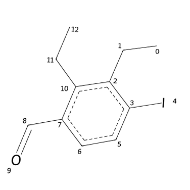 CCc1c(I)ccc(C=O)c1CC